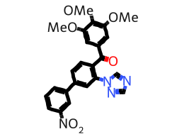 COc1cc(C(=O)c2ccc(-c3cccc([N+](=O)[O-])c3)cc2-n2cncn2)cc(OC)c1OC